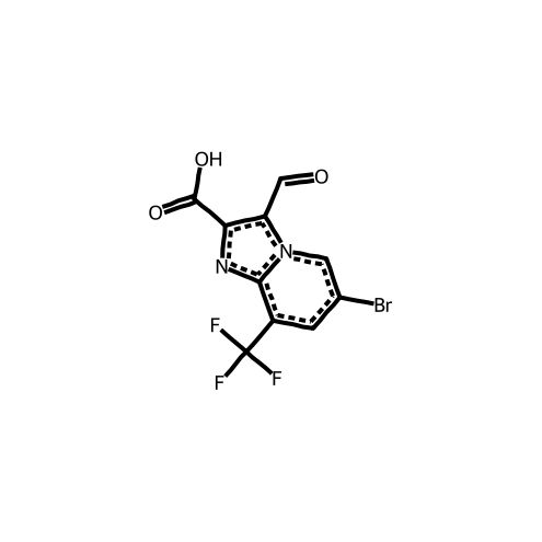 O=Cc1c(C(=O)O)nc2c(C(F)(F)F)cc(Br)cn12